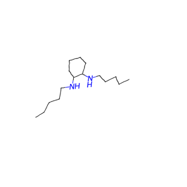 CCCCCNC1CCCCC1NCCCCC